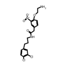 NCCOc1ccc(CC(=O)NCCCc2ccc(Cl)c(Cl)c2)cc1[N+](=O)[O-]